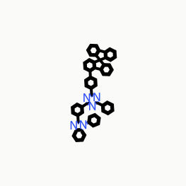 c1ccc(-c2nc(-c3ccc(-c4cccc5c4-c4ccccc4C54c5ccccc5-c5ccccc54)cc3)nc(-c3cccc(-c4nc5ccccc5n4-c4ccccc4)c3)n2)cc1